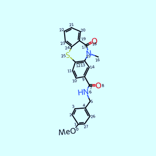 COc1ccc(CNC(=O)c2ccc3c(c2)N(C)C(=O)c2ccccc2S3)cc1